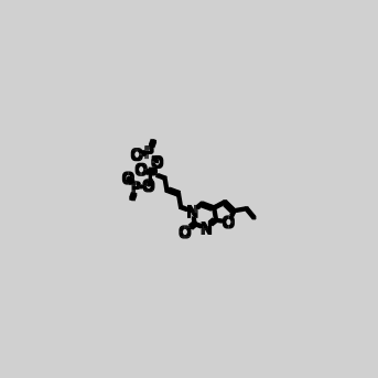 C=P(=O)OP(=O)(C/C=C/Cn1cc2cc(CC)oc2nc1=O)OP(=C)=O